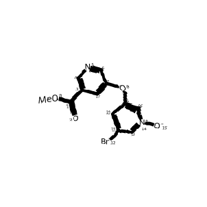 COC(=O)c1cncc(Oc2cc(Br)c[n+]([O-])c2)c1